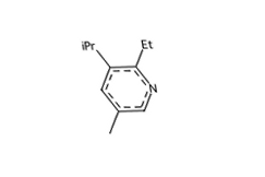 CCc1ncc(C)cc1C(C)C